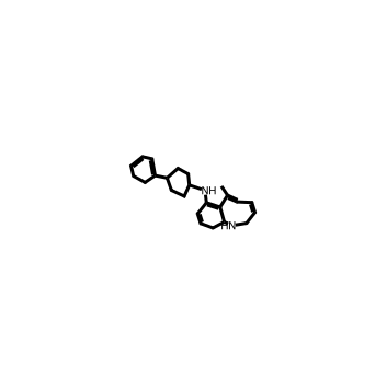 C/C1=C\C=C/CNC2CC=CC(NC3CCC(C4=CC=CCC4)CC3)=C12